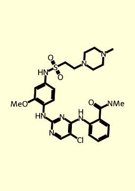 CNC(=O)c1ccccc1Nc1nc(Nc2ccc(NS(=O)(=O)CCN3CCN(C)CC3)cc2OC)ncc1Cl